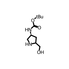 CC(C)(C)OC(=O)N[C@@H]1CNC(CO)C1